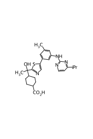 Cc1cc(Nc2nccc(C(C)C)n2)cc(-c2cnc(C(C)(O)C3CCC(C(=O)O)CC3)s2)c1